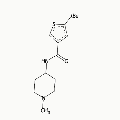 CN1CCC(NC(=O)c2csc(C(C)(C)C)c2)CC1